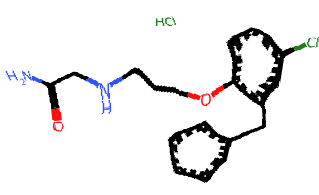 Cl.NC(=O)CNCCCOc1ccc(Cl)cc1Cc1ccccc1